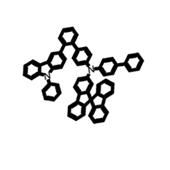 c1ccc(-c2ccc(N(c3ccc(-c4ccccc4-c4ccc5c(c4)c4ccccc4n5-c4ccccc4)cc3)c3ccc4c(c3)C3(c5ccccc5-c5ccccc53)c3ccccc3-4)cc2)cc1